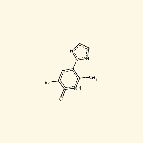 CCc1cc(-n2nccn2)c(C)[nH]c1=O